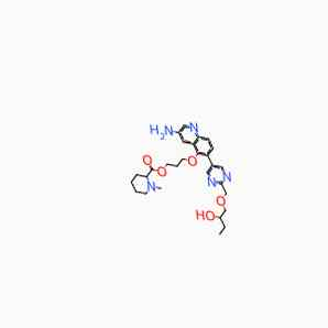 CCC(O)COCc1ncc(-c2ccc3ncc(N)cc3c2OCCCOC(=O)C2CCCCN2C)cn1